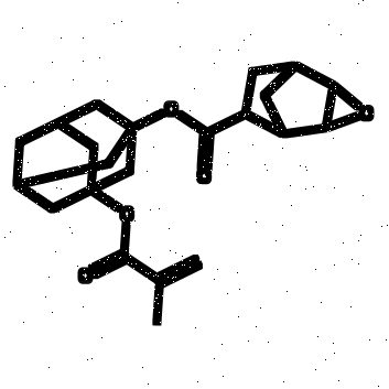 C=C(C)C(=O)OC12CC3CC(C1)CC(OC(=O)C1CC4CC1C1OC41)(C3)C2